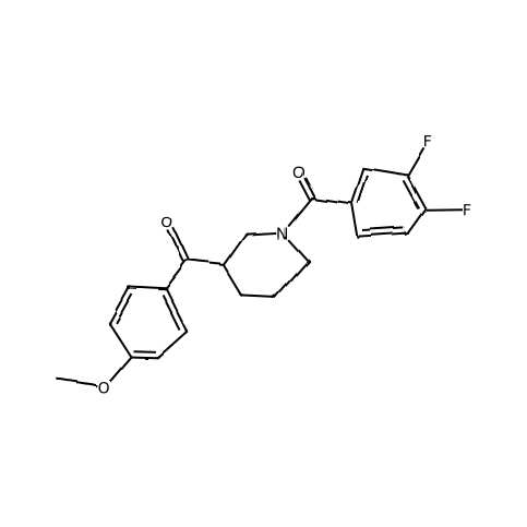 COc1ccc(C(=O)C2CCCN(C(=O)c3ccc(F)c(F)c3)C2)cc1